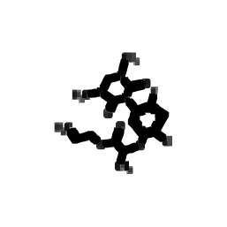 C=CCOC(=O)C(C)Oc1cc(N2C(=O)N(C)CN(C)C2=O)c(F)cc1Cl